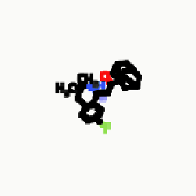 CC1(C)Cc2ccc(F)cc2/C(=C/C(=O)C23CC4CC(CC(C4)C2)C3)N1